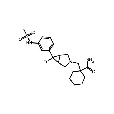 CCC1(c2cccc(NS(C)(=O)=O)c2)C2CN(CC3(C(N)=O)CCCCC3)CC21